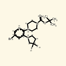 CC(C)(C)OC(=O)N1CCN(c2ncc(Br)cc2N2CCC(F)(F)C2)CC1